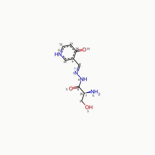 N[C@@H](CO)C(=O)N/N=C/c1c[nH]ccc1=O